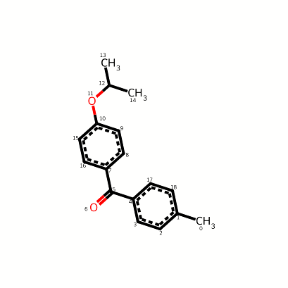 Cc1ccc(C(=O)c2ccc(OC(C)C)cc2)cc1